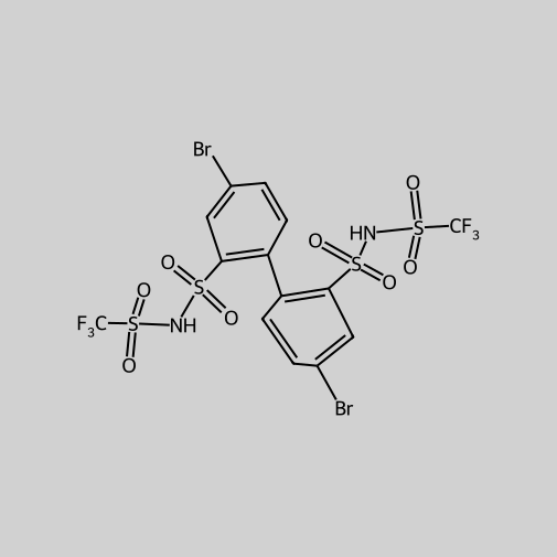 O=S(=O)(NS(=O)(=O)C(F)(F)F)c1cc(Br)ccc1-c1ccc(Br)cc1S(=O)(=O)NS(=O)(=O)C(F)(F)F